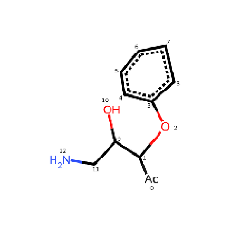 CC(=O)C(Oc1ccccc1)C(O)CN